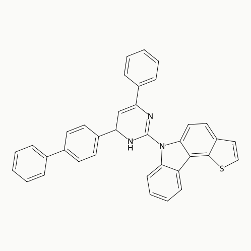 C1=C(c2ccccc2)N=C(n2c3ccccc3c3c4sccc4ccc32)NC1c1ccc(-c2ccccc2)cc1